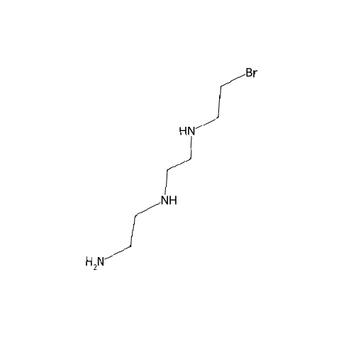 NCCNCCNCCBr